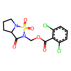 O=C(OCN1C(=O)C2CCCN2S1(=O)=O)c1c(Cl)cccc1Cl